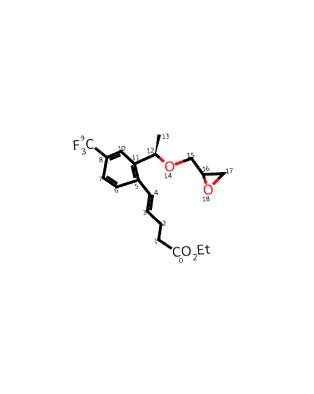 CCOC(=O)CC/C=C/c1ccc(C(F)(F)F)cc1[C@@H](C)OCC1CO1